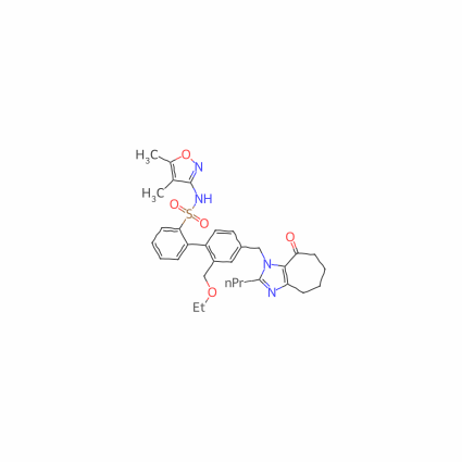 CCCc1nc2c(n1Cc1ccc(-c3ccccc3S(=O)(=O)Nc3noc(C)c3C)c(COCC)c1)C(=O)CCCC2